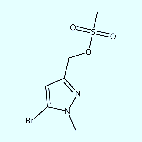 Cn1nc(COS(C)(=O)=O)cc1Br